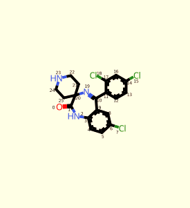 O=C1Nc2ccc(Cl)cc2C(c2ccc(Cl)cc2Cl)=NC12CCNCC2